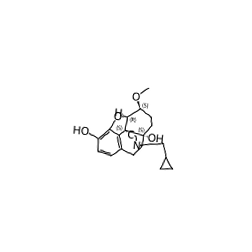 CO[C@H]1CC[C@@]2(O)C3Cc4ccc(O)c5c4[C@@]2(CCN3CC2CC2)[C@H]1O5